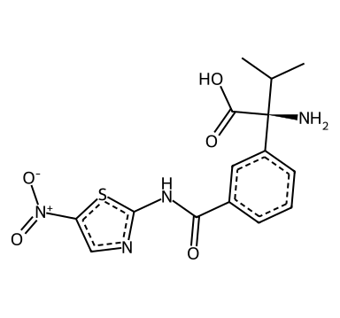 CC(C)[C@@](N)(C(=O)O)c1cccc(C(=O)Nc2ncc([N+](=O)[O-])s2)c1